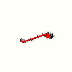 CC(=O)NC1[C@@H](O[C@H]2C(CO)O[C@H](O)C(NC(=O)CCCCCCCCCOC(=O)CCCCCCCCCCC(=O)OCCCCCCCCCCOC(=O)C[N+](C)(C)CCOC(C)=O)[C@@H]2O)CC(CO)[C@H](O)[C@H]1O